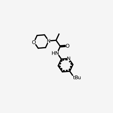 CC(C(=O)Nc1ccc(C(C)(C)C)cn1)N1CCOCC1